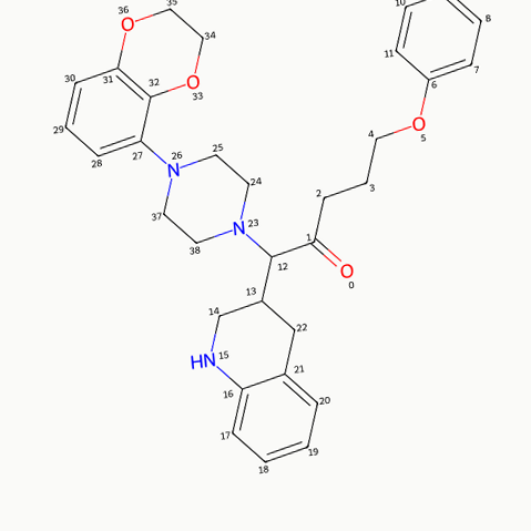 O=C(CCCOc1ccccc1)C(C1CNc2ccccc2C1)N1CCN(c2cccc3c2OCCO3)CC1